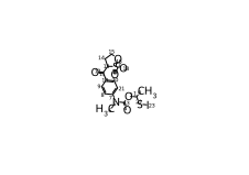 CC(OC(=O)N(C)c1ccc(C(=O)C2CCOS2(=O)=O)cc1)SI